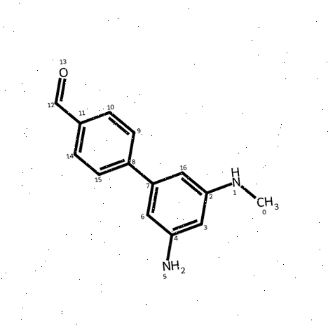 CNc1cc(N)cc(-c2ccc(C=O)cc2)c1